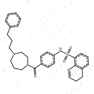 O=C(c1ccc(NS(=O)(=O)c2cccc3c2N=CCC3)cc1)N1CCCN(CCCc2ccccc2)CC1